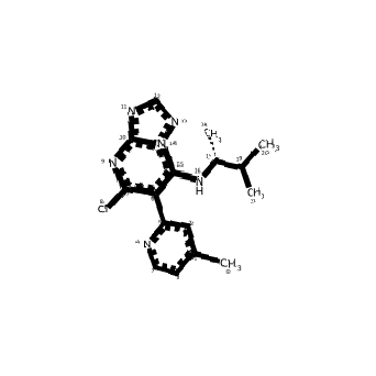 Cc1ccnc(-c2c(Cl)nc3ncnn3c2N[C@H](C)C(C)C)c1